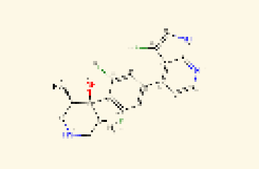 C[C@@H]1CNC[C@H](C)[C@@]1(O)c1c(F)cc(-c2ccnc3[nH]cc(F)c23)cc1F